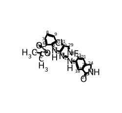 CC(C)S(=O)(=O)c1ccccc1Nc1nc(Nc2cc3c(cc2F)CNC3=O)ncc1Cl